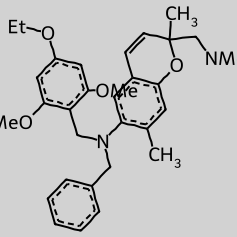 CCOc1cc(OC)c(CN(Cc2ccccc2)c2cc3c(cc2C)OC(C)(CNC)C=C3)c(OC)c1